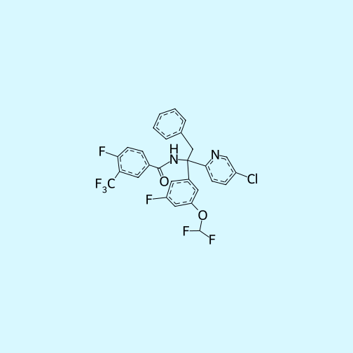 O=C(NC(Cc1ccccc1)(c1cc(F)cc(OC(F)F)c1)c1ccc(Cl)cn1)c1ccc(F)c(C(F)(F)F)c1